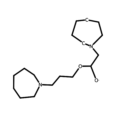 [O]C(CN1CCCCCC1)OCCCN1CCCCCC1